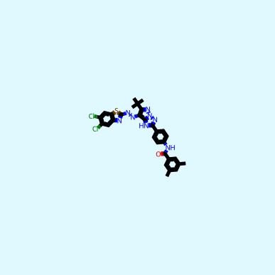 Cc1cc(C)cc(C(=O)Nc2ccc(-c3nn4nc(C(C)(C)C)c(N=Nc5nc6cc(Cl)c(Cl)cc6s5)c4[nH]3)cc2)c1